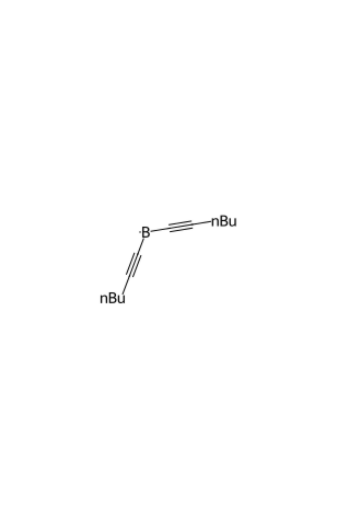 CCCCC#C[B]C#CCCCC